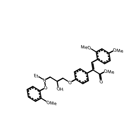 CCN(CC(O)COc1ccc(/C(=C/c2ccc(OC)cc2OC)C(=O)OC)cc1)Oc1ccccc1OC